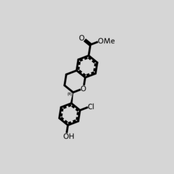 COC(=O)c1ccc2c(c1)CC[C@H](c1ccc(O)cc1Cl)O2